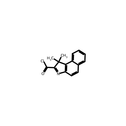 CC1(C)C(C(=O)Cl)=Nc2ccc3ccccc3c21